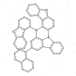 c1ccc2c(c1)B1c3ccc4oc5ccccc5c4c3N(c3cccc4oc5ccccc5c34)c3cc(-c4cccc5ccccc45)cc-2c31